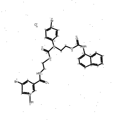 CCC[n+]1cc(Br)cc(C(=O)NCCOC(=O)N(CCOC(=O)Nc2cccc3ccccc23)c2ccc(Br)cc2)c1.[Cl-]